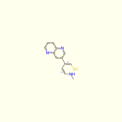 CN/C=C\C(=C/S)c1cnc2cccnc2c1